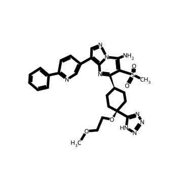 COCCO[C@]1(c2nnn[nH]2)CC[C@H](c2nc3c(-c4ccc(-c5ccccc5)nc4)cnn3c(N)c2S(C)(=O)=O)CC1